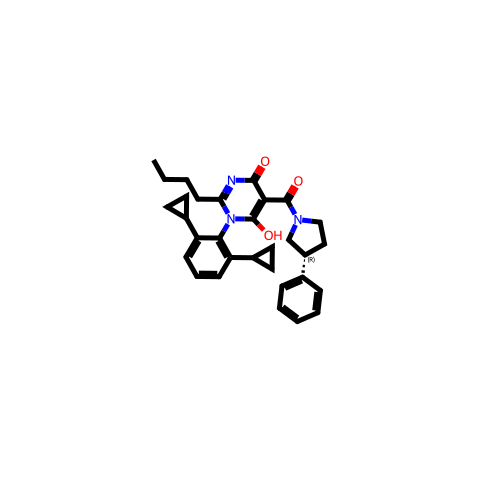 CCCCc1nc(=O)c(C(=O)N2CC[C@H](c3ccccc3)C2)c(O)n1-c1c(C2CC2)cccc1C1CC1